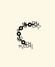 CC(C)(C)c1ccc(-c2nnc(-c3ccc(Oc4ccc(-c5nnc(-c6ccc(C(C)(C)C)cc6)o5)cc4)cc3)o2)cc1